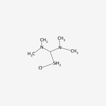 CN(C)C([SiH2]Cl)N(C)C